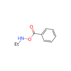 CCNOC(=O)c1ccccc1